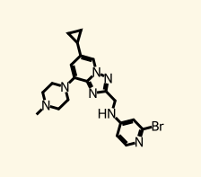 CN1CCN(c2cc(C3CC3)cn3nc(CNc4ccnc(Br)c4)nc23)CC1